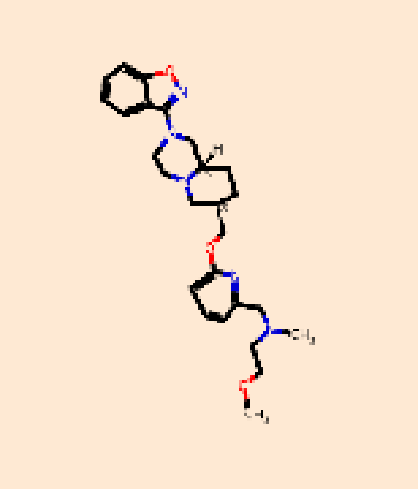 COCCN(C)Cc1cccc(OC[C@@H]2CC[C@H]3CN(c4noc5ccccc45)CCN3C2)n1